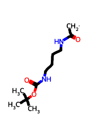 [CH2]C(=O)NCCCCNC(=O)OC(C)(C)C